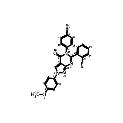 COc1ccc(-n2cc3c(=O)n(-c4ccc(Br)cc4)c(-c4ccccc4F)nc3n2)cc1